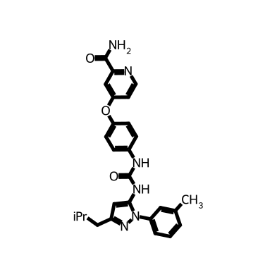 Cc1cccc(-n2nc(CC(C)C)cc2NC(=O)Nc2ccc(Oc3ccnc(C(N)=O)c3)cc2)c1